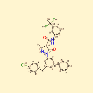 CC1=NN(c2cc(Cc3ccc(Cl)cc3)cc(-c3ccccc3)c2)C(=O)C1C(=O)Nc1cccc(C(C)(F)F)c1